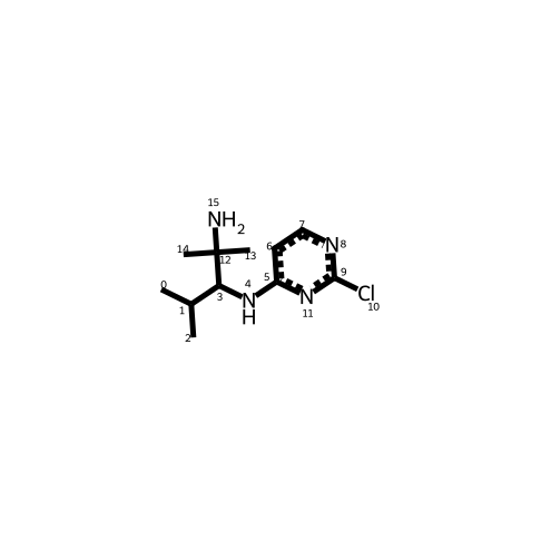 CC(C)C(Nc1ccnc(Cl)n1)C(C)(C)N